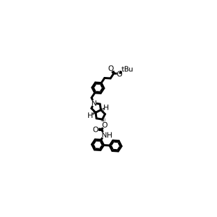 CC(C)(C)OC(=O)CCc1ccc(CN2C[C@H]3C[C@H](OC(=O)Nc4ccccc4-c4ccccc4)C[C@H]3C2)cc1